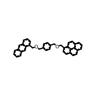 c1ccc2cc3c(COCc4ccc(COCc5ccc6ccc7cccc8ccc5c6c78)cc4)cccc3cc2c1